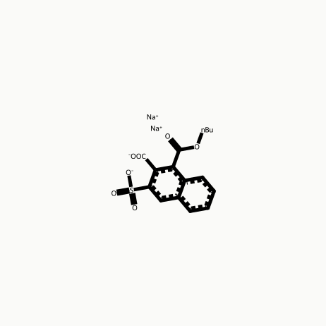 CCCCOC(=O)c1c(C(=O)[O-])c(S(=O)(=O)[O-])cc2ccccc12.[Na+].[Na+]